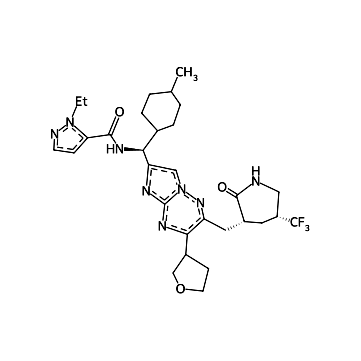 CCn1nccc1C(=O)N[C@H](c1cn2nc(C[C@H]3C[C@@H](C(F)(F)F)CNC3=O)c(C3CCOC3)nc2n1)C1CCC(C)CC1